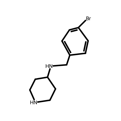 Brc1ccc(CNC2CCNCC2)cc1